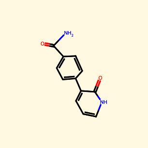 NC(=O)c1ccc(-c2ccc[nH]c2=O)cc1